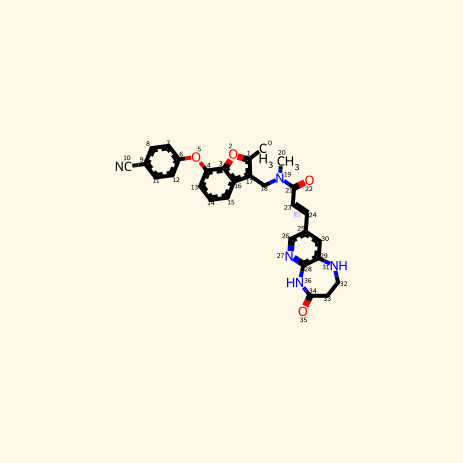 Cc1oc2c(Oc3ccc(C#N)cc3)cccc2c1CN(C)C(=O)/C=C/c1cnc2c(c1)NCCC(=O)N2